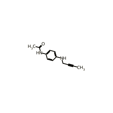 CC#CCNc1ccc(NC(C)=O)cc1